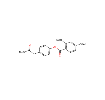 COC(=O)Cc1ccc(OC(=O)c2ccc(OC)cc2OC)cc1